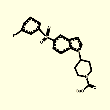 CC(C)COC(=O)N1CCC(n2ccc3cc(S(=O)(=O)c4cccc(F)c4)ccc32)CC1